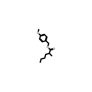 [CH2]CCCC(C)C(=O)OCc1ccc(OC)cc1